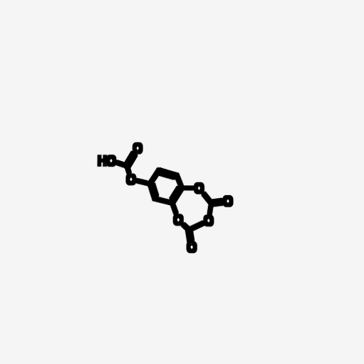 O=C(O)Oc1ccc2c(c1)OC(=O)OC(=O)O2